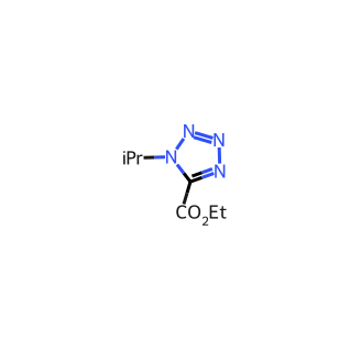 CCOC(=O)c1nnnn1C(C)C